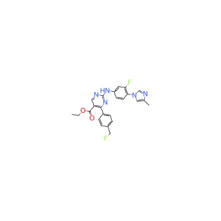 CCOC(=O)c1cnc(Nc2ccc(-n3cnc(C)c3)c(F)c2)nc1-c1ccc(CF)cc1